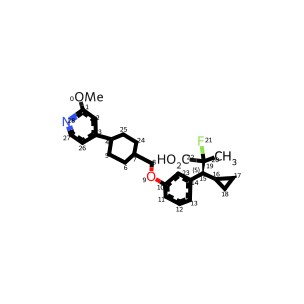 COc1cc(C2CCC(COc3cccc([C@H](C4CC4)C(C)(F)C(=O)O)c3)CC2)ccn1